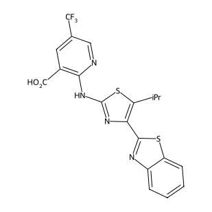 CC(C)c1sc(Nc2ncc(C(F)(F)F)cc2C(=O)O)nc1-c1nc2ccccc2s1